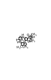 COc1ccc(Nc2ncc(F)c(N[C@@H]3C[C@@H]4CCCN4C(C)(C)C3)n2)cc1N1NNN(C)C1=O